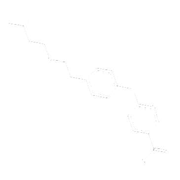 CC(C)CCNCCc1ccc(Oc2ccc(C(N)=O)cn2)cc1